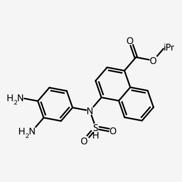 CC(C)OC(=O)c1ccc(N(c2ccc(N)c(N)c2)[SH](=O)=O)c2ccccc12